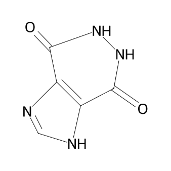 O=c1[nH][nH]c(=O)c2[nH]cnc12